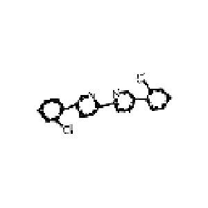 Clc1ccccc1-c1ccc(-c2ccc(-c3ccccc3Cl)cn2)nc1